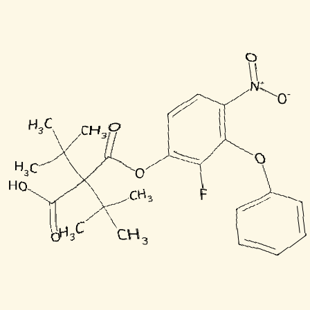 CC(C)(C)C(C(=O)O)(C(=O)Oc1ccc([N+](=O)[O-])c(Oc2ccccc2)c1F)C(C)(C)C